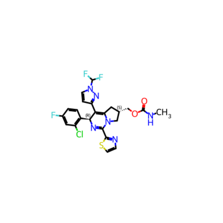 CNC(=O)OC[C@H]1CC2=C(c3ccn(C(F)F)n3)[C@H](c3ccc(F)cc3Cl)N=C(c3nccs3)N2C1